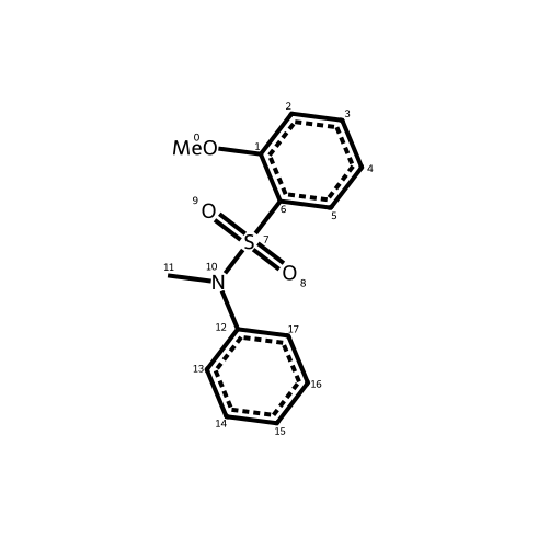 COc1ccccc1S(=O)(=O)N(C)c1ccccc1